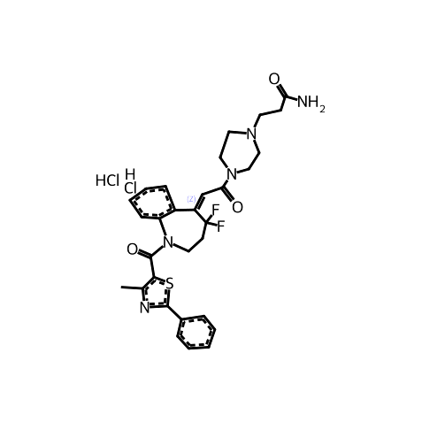 Cc1nc(-c2ccccc2)sc1C(=O)N1CCC(F)(F)/C(=C\C(=O)N2CCN(CCC(N)=O)CC2)c2ccccc21.Cl.Cl